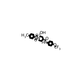 Cc1ccc(S(=O)(=O)N2CC[C@H](C(=O)Nc3ccc(OC(F)(F)F)cc3)C[C@H]2CO)cc1